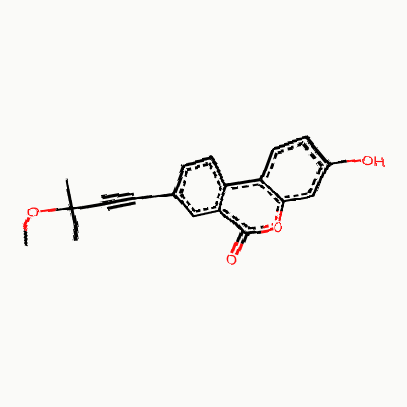 COC(C)(C)C#Cc1ccc2c(c1)c(=O)oc1cc(O)ccc12